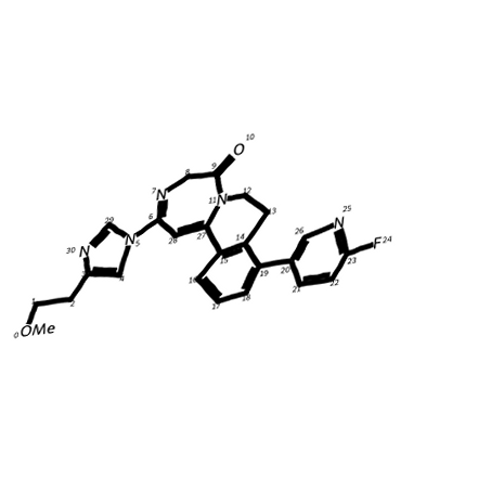 COCCc1cn(C2=NCC(=O)N3CCc4c(cccc4-c4ccc(F)nc4)C3=C2)cn1